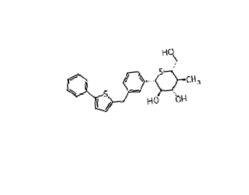 C[C@H]1[C@H](O)[C@@H](O)[C@H](c2cccc(Cc3ccc(-c4ccccc4)s3)c2)S[C@@H]1CO